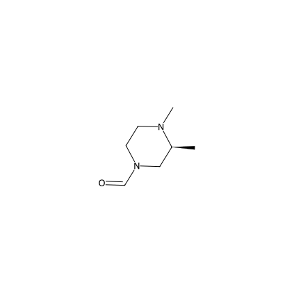 C[C@H]1CN(C=O)CCN1C